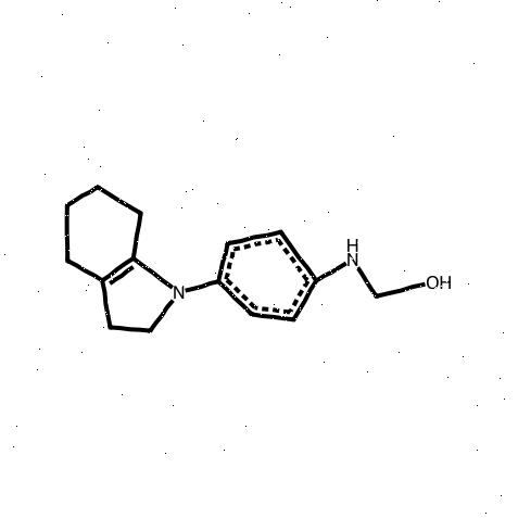 OCNc1ccc(N2CCC3=C2CCCC3)cc1